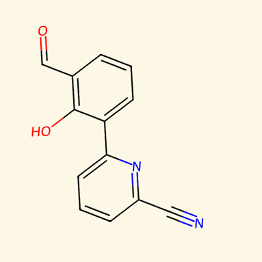 N#Cc1cccc(-c2cccc(C=O)c2O)n1